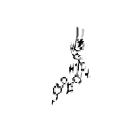 Cc1ccc(NC(=O)c2cccc(CF)c2)cc1NC(=O)c1cc2cnc3[nH]ncc3c2s1